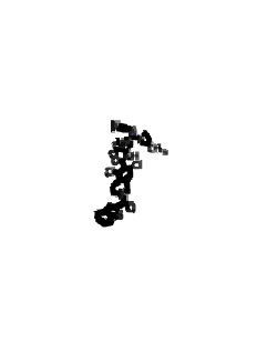 C[C@H]1CCN(/C(=N/C#N)NC[C@H](NC(=O)c2c(Cl)cc3c(c2Cl)CCN(C(=O)c2cc4ccccc4s2)C3)C(=O)O)C1